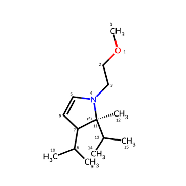 COCCN1C=CC(C(C)C)[C@]1(C)C(C)C